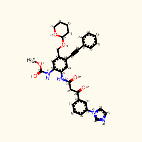 CC(C)(C)OC(=O)Nc1cc(COC2CCCCO2)c(C#Cc2ccccc2)cc1NC(=O)CC(=O)c1cccc(-n2ccnc2)c1